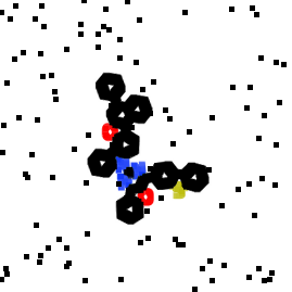 c1ccc(-c2cc3oc4c(ccc5c4c4ccccc4n5-c4nc(-c5ccc6c(c5)sc5ccccc56)c5oc6ccccc6c5n4)c3c3ccccc23)cc1